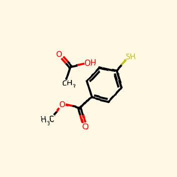 CC(=O)O.COC(=O)c1ccc(S)cc1